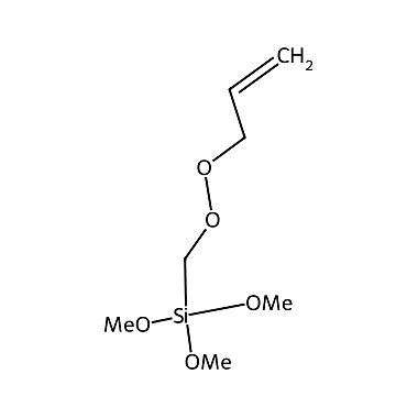 C=CCOOC[Si](OC)(OC)OC